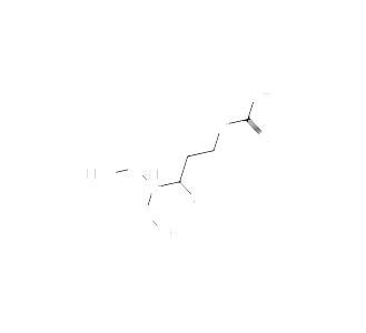 CO[SiH](OC)C(C)CCOC(C)=S